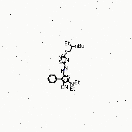 CCCCC(CC)CSc1nsc(/N=N/c2sc(N(CC)CC)c(C#N)c2-c2ccccc2)n1